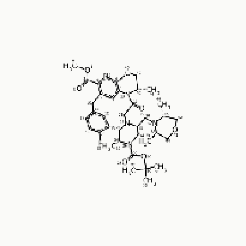 COC(=O)c1nc2c(cc1Cc1ccc(F)cc1)N(C(=O)CN1C[C@@H](C)N(C(=O)OC(C)(C)C)CC1CN1[C@H](C)COC[C@H]1C)[C@@H](C)CO2